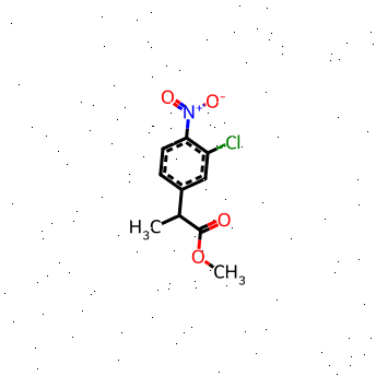 COC(=O)C(C)c1ccc([N+](=O)[O-])c(Cl)c1